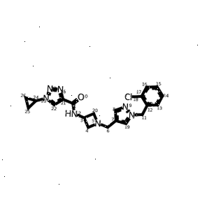 O=C(NC1CN(Cc2cnn(Cc3ccccc3Cl)c2)C1)c1cn(C2CC2)nn1